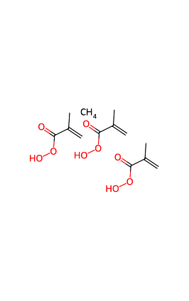 C.C=C(C)C(=O)OO.C=C(C)C(=O)OO.C=C(C)C(=O)OO